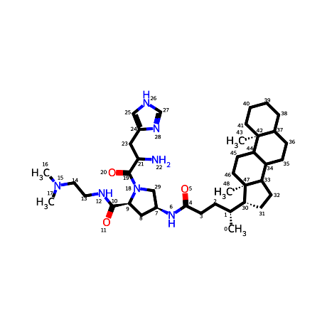 C[C@H](CCC(=O)N[C@H]1C[C@@H](C(=O)NCCN(C)C)N(C(=O)C(N)Cc2c[nH]cn2)C1)[C@H]1CCC2C3CCC4CCCC[C@]4(C)C3CC[C@@]21C